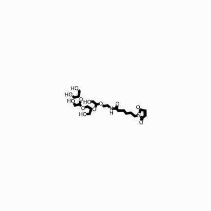 O=C(CCCCCN1C(=O)C=CC1=O)NCCOC(CO)OC(CO)COC(CO)OC(CO)CO